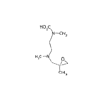 CN(CCN(C)C(=O)O)CC1(C)CO1